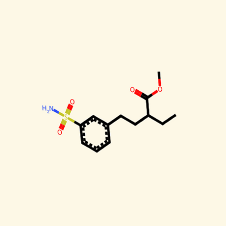 CCC(CCc1cccc(S(N)(=O)=O)c1)C(=O)OC